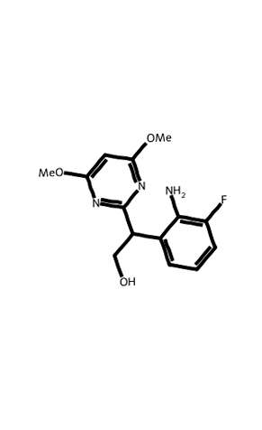 COc1cc(OC)nc(C(CO)c2cccc(F)c2N)n1